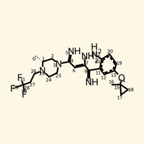 C[C@@H]1CN(C(=N)/C=C(\N)C(=N)c2cc(OC3(C)CC3)ccc2N)CCN1CCC(F)(F)F